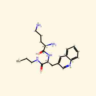 CC(C)(C)CCNC(=O)[C@H](Cc1cnc2ccccc2c1)NC(=O)[C@H](N)CCCN